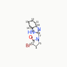 O=C1C(Br)CCN1Cc1nc2ccccc2[nH]1